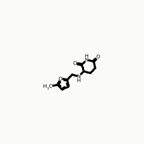 Cc1ccc(CNC2CCC(=O)NC2=O)o1